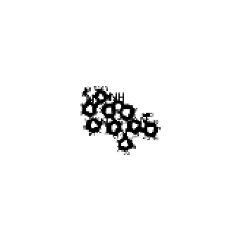 CCn1c2ccccc2c2cc(NC(CC3=CC=CC=CC3)c3ccc4c(c3)c3cc(N(c5ccccc5)c5ccc6c(c5)c5ccccc5n6CC)ccc3n4-c3ccccc3)ccc21